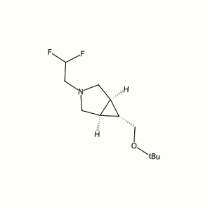 CC(C)(C)OC[C@@H]1[C@H]2CN(CC(F)F)C[C@@H]12